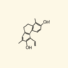 C=Cc1c(O)c(C)cc2c1-c1ccc(O)c(C)c1CC2